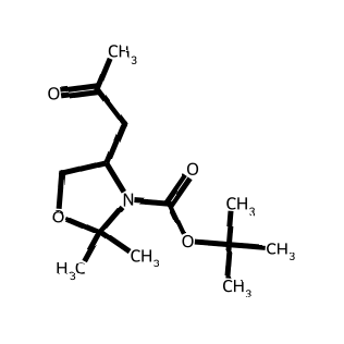 CC(=O)CC1COC(C)(C)N1C(=O)OC(C)(C)C